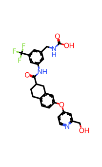 O=C(O)NCc1cc(NC(=O)C2CCc3ccc(Oc4ccnc(CO)c4)cc3C2)cc(C(F)(F)F)c1